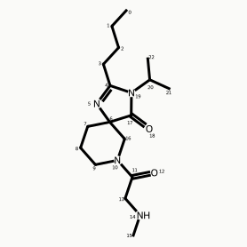 CCCCC1=NC2(CCCN(C(=O)CNC)C2)C(=O)N1C(C)C